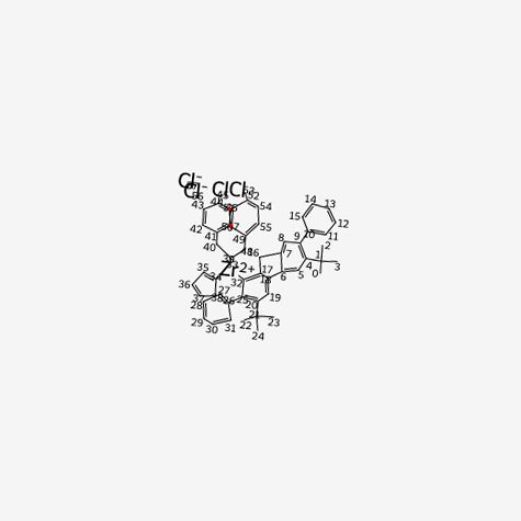 CC(C)(C)c1cc2c(cc1-c1ccccc1)Cc1c-2cc(C(C)(C)C)c(-c2ccccc2)[c]1[Zr+2]([C]1=CC=CC1)=[C](Cc1ccc(Cl)cc1)Cc1ccc(Cl)cc1.[Cl-].[Cl-]